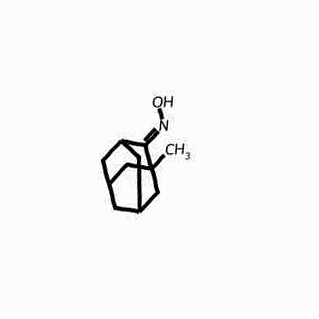 CC12CC3CC(CC(C3)C1=NO)C2